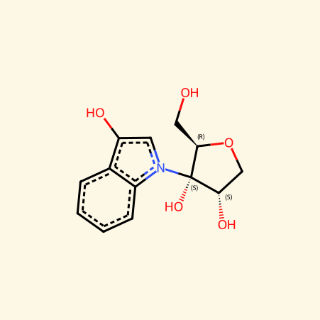 OC[C@H]1OC[C@H](O)[C@@]1(O)n1cc(O)c2ccccc21